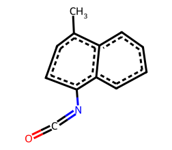 Cc1ccc(N=C=O)c2ccccc12